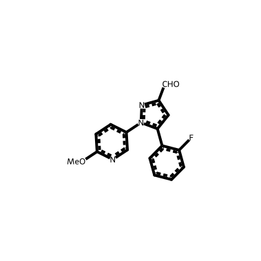 COc1ccc(-n2nc(C=O)cc2-c2ccccc2F)cn1